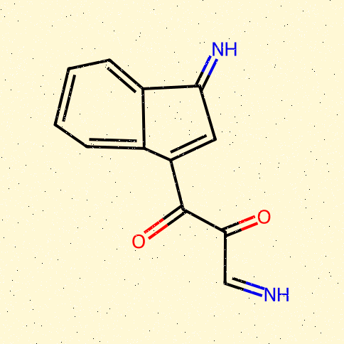 N=CC(=O)C(=O)C1=CC(=N)c2ccccc21